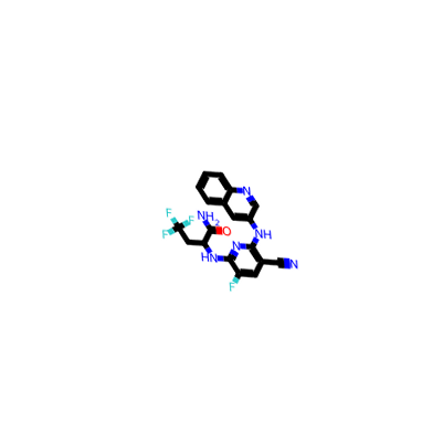 N#Cc1cc(F)c(NC(CC(F)(F)F)C(N)=O)nc1Nc1cnc2ccccc2c1